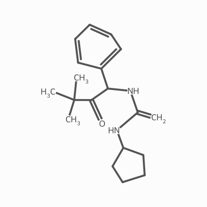 C=C(NC1CCCC1)NC(C(=O)C(C)(C)C)c1ccccc1